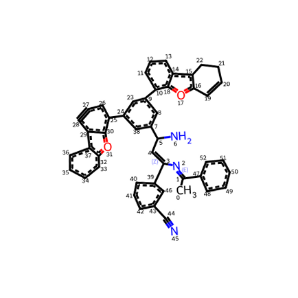 C/C(=N\C(=C/C(N)c1cc(-c2cccc3c4c(oc23)C=CCC4)cc(-c2cc#cc3c2oc2ccccc23)c1)c1cccc(C#N)c1)c1ccccc1